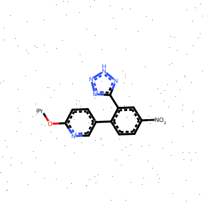 CC(C)Oc1ccc(-c2ccc([N+](=O)[O-])cc2-c2nn[nH]n2)cn1